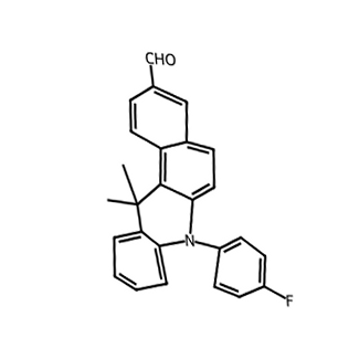 CC1(C)c2ccccc2N(c2ccc(F)cc2)c2ccc3cc(C=O)ccc3c21